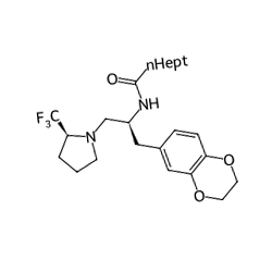 CCCCCCCC(=O)N[C@@H](Cc1ccc2c(c1)OCCO2)CN1CCC[C@H]1C(F)(F)F